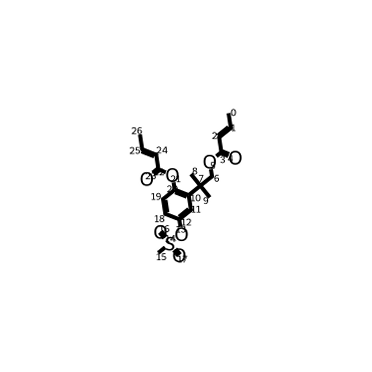 CC=CC(=O)OCC(C)(C)c1cc(OS(C)(=O)=O)ccc1OC(=O)C=CC